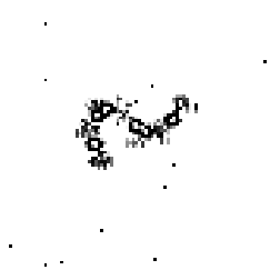 O=C(Nc1ccc2c(O)cc(S(=O)(=O)Nc3ccc(-c4nnn[nH]4)cc3)cc2c1)Nc1ccc2c(O)cc(S(=O)(=O)Nc3ccc(-c4nnn[nH]4)cc3)cc2c1